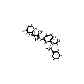 O=CN(NC1CCCCC1)c1cccc(NC(=O)NC2CCCCC2)c1